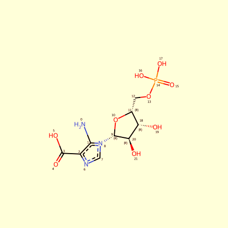 Nc1c(C(=O)O)ncn1[C@@H]1O[C@H](COP(=O)(O)O)[C@H](O)[C@H]1O